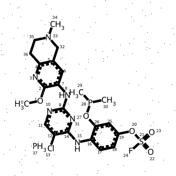 COc1nc2c(cc1Nc1ncc(Cl)c(Nc3ccc(OS(=O)(=O)F)cc3OP(C)C)n1)CN(C)CC2.P